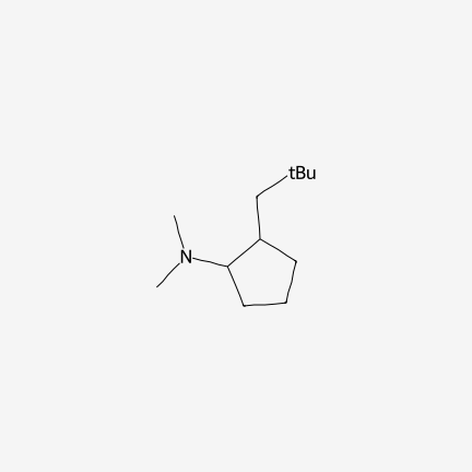 CN(C)C1CCCC1CC(C)(C)C